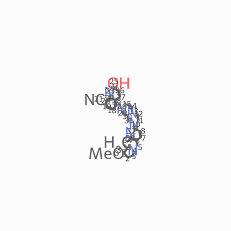 COC1CCN(Cc2ccc(N3CCN4CCN(c5ccc(C#N)c6nc(O)ccc56)CC4C3)nc2C)C1